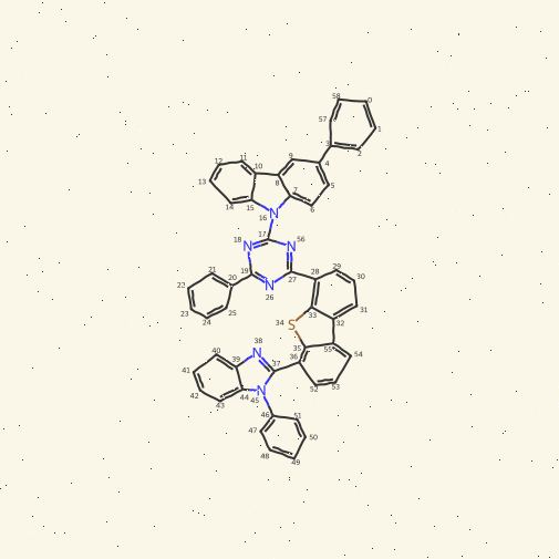 c1ccc(-c2ccc3c(c2)c2ccccc2n3-c2nc(-c3ccccc3)nc(-c3cccc4c3sc3c(-c5nc6ccccc6n5-c5ccccc5)cccc34)n2)cc1